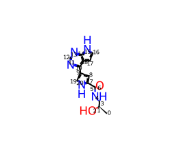 C[C@@H](O)CNC(=O)c1cc(-c2ncnc3[nH]ccc23)c[nH]1